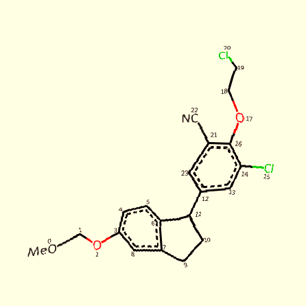 COCOc1ccc2c(c1)CCC2c1cc(Cl)c(OCCCl)c(C#N)c1